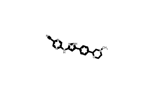 CN1CCOC(c2ccc(-c3cc(Nc4cnc(C#N)cn4)n[nH]3)cc2)C1